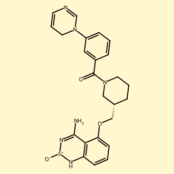 NC1=N[S+]([O-])Nc2cccc(OC[C@H]3CCCN(C(=O)c4cccc(N5C=NC=CC5)c4)C3)c21